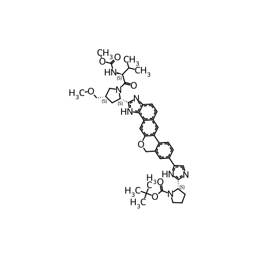 COC[C@H]1C[C@@H](c2nc3ccc4cc5c(cc4c3[nH]2)OCc2cc(-c3cnc([C@@H]4CCCN4C(=O)OC(C)(C)C)[nH]3)ccc2-5)N(C(=O)[C@@H](NC(=O)OC)C(C)C)C1